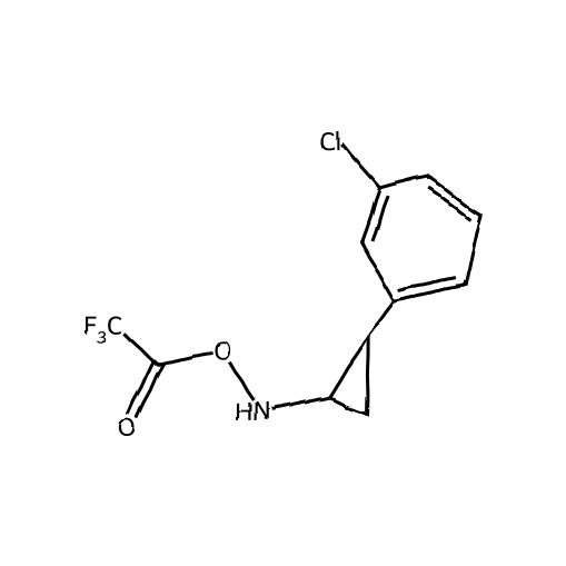 O=C(ONC1CC1c1cccc(Cl)c1)C(F)(F)F